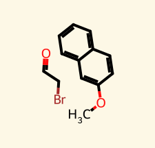 COc1ccc2ccccc2c1.O=CCBr